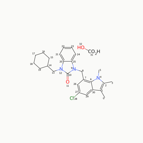 Cc1c(C)n(C)c2c(Cn3c(=O)n(CC4CCCCC4)c4ccccc43)cc(Cl)cc12.O=C(O)O